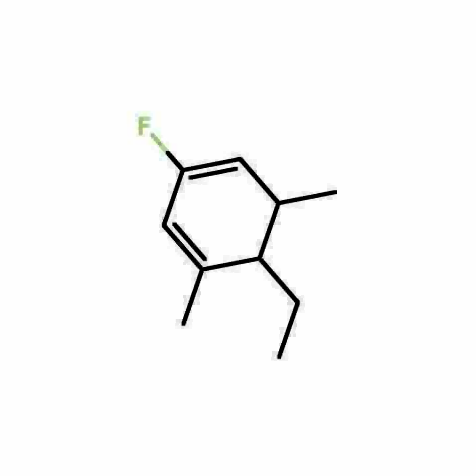 CCC1C(C)=CC(F)=CC1C